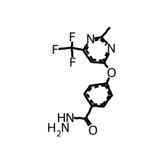 Cc1nc(Oc2ccc(C(=O)NN)cc2)cc(C(F)(F)F)n1